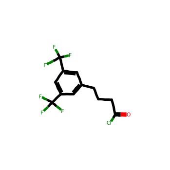 O=C(Cl)CCCc1cc(C(F)(F)F)cc(C(F)(F)F)c1